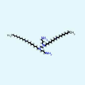 CCCCCCCCC/C=C/CCCCCCCCN(CCCN)CCN(CCCN)CCCCCCCC/C=C/CCCCCCCCC